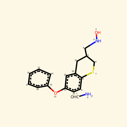 NC=O.ONCC1CSc2ccc(Oc3ccccc3)cc2C1